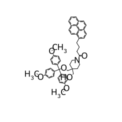 COc1ccc(C(OCC2(CO)CCN(C(=O)CCCc3ccc4ccc5cccc6ccc3c4c56)CC2)(c2ccc(OC)cc2)c2ccc(OC)cc2)cc1